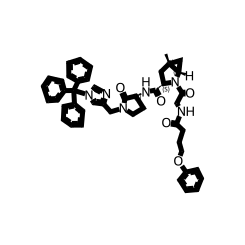 C[C@@]12C[C@@H]1N(C(=O)CNC(=O)CCCOc1ccccc1)[C@H](C(=O)N[C@@H]1CCN(Cc3cn(C(c4ccccc4)(c4ccccc4)c4ccccc4)cn3)C1=O)C2